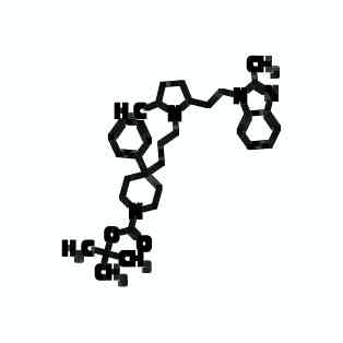 Cc1nc2ccccc2n1CCC1CCC(C)N1CCCC1(c2ccccc2)CCN(C(=O)OC(C)(C)C)CC1